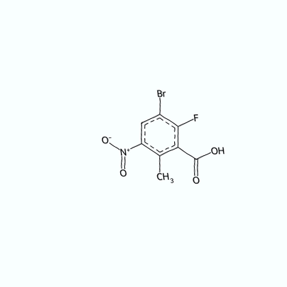 Cc1c([N+](=O)[O-])cc(Br)c(F)c1C(=O)O